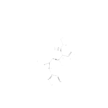 C=C/C(=C\C)C1C(/C=C(\C)C(C=C)NCC)[C@H]1C